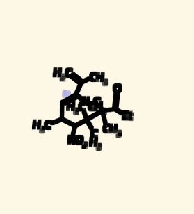 C=C(C)/C(C)=C/C(C)C([N+](=O)[O-])C(C)(C)C(C)(C)C(=O)CC